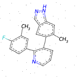 Cc1cc(-c2ncccc2-c2cc3cn[nH]c3cc2C)ccc1F